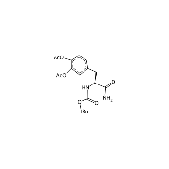 CC(=O)Oc1ccc(C[C@H](NC(=O)OC(C)(C)C)C(N)=O)cc1OC(C)=O